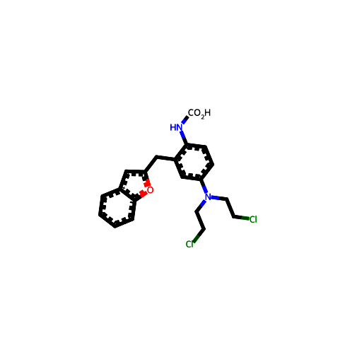 O=C(O)Nc1ccc(N(CCCl)CCCl)cc1Cc1cc2ccccc2o1